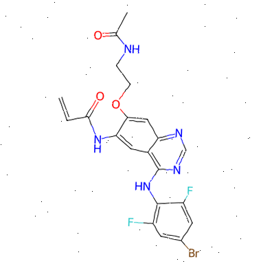 C=CC(=O)Nc1cc2c(Nc3c(F)cc(Br)cc3F)ncnc2cc1OCCNC(C)=O